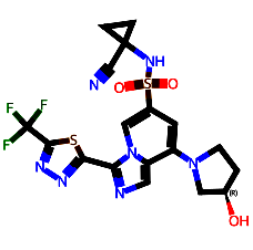 N#CC1(NS(=O)(=O)c2cc(N3CC[C@@H](O)C3)c3cnc(-c4nnc(C(F)(F)F)s4)n3c2)CC1